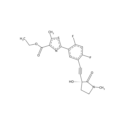 CCOC(=O)c1nc(-c2cc(C#C[C@]3(O)CCN(C)C3=O)c(F)cc2F)sc1C